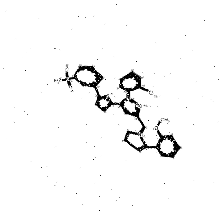 COc1ccccc1C1CCCN1Cc1cc(-c2ccc(-c3cccc(S(C)(=O)=O)c3)s2)n(-c2ccccc2Cl)n1